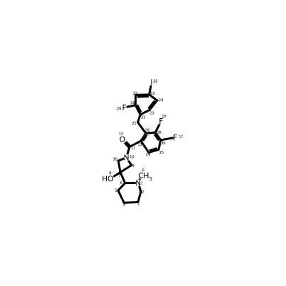 CN1CCCCC1C1(O)CN(C(=O)c2ccc(F)c(F)c2Cc2ccc(I)cc2F)C1